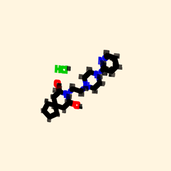 Cl.O=C1CC2(CCCC2)CC(=O)N1CCN1CCN(c2ccccn2)CC1